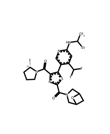 CCC(Nc1cc(C(F)F)c(-c2sc(C(=O)N3CC4CC(C3)O4)nc2C(=O)N2CCC[C@@H]2C)cn1)C(F)(F)F